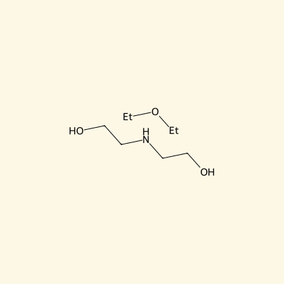 CCOCC.OCCNCCO